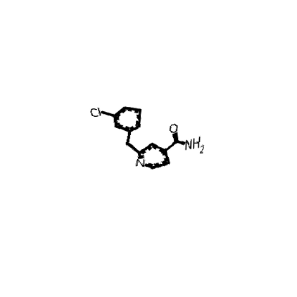 NC(=O)c1ccnc(Cc2cccc(Cl)c2)c1